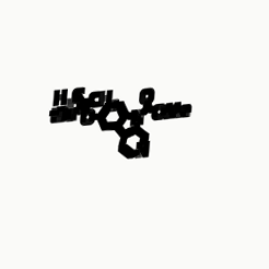 COC(=O)n1c2ccc(O[Si](C)(C)C(C)(C)C)cc2c2ccncc21